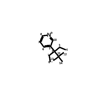 [CH2]CC(CC)(c1cccnc1)C(C)(C)C